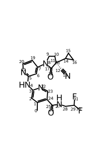 Cc1cc(Nc2cc(N3CC[C@@](C#N)(C4CC4)C3=O)ccn2)ncc1C(=O)NCC(F)F